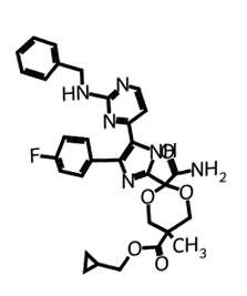 CC1(C(=O)OCC2CC2)COC(C(N)=O)(c2nc(-c3ccc(F)cc3)c(-c3ccnc(NCc4ccccc4)n3)[nH]2)OC1